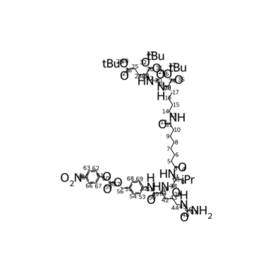 CC(C)[C@H](NC(=O)CCCCCCC(=O)NCCCC[C@H](NC(=O)N[C@@H](CCC(=O)OC(C)(C)C)C(=O)OC(C)(C)C)C(=O)OC(C)(C)C)C(=O)N[C@@H](CCCNC(N)=O)C(=O)Nc1ccc(COC(=O)Oc2ccc([N+](=O)[O-])cc2)cc1